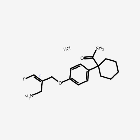 Cl.NC/C(=C\F)COc1ccc(C2(C(N)=O)CCCCC2)cc1